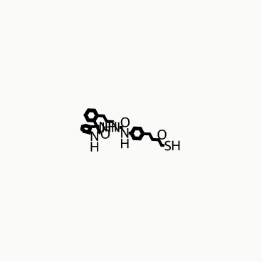 O=C(CS)CCc1ccc(NC(=O)NCC2Cc3ccccc3C3(N2)C(=O)Nc2ccccc23)cc1